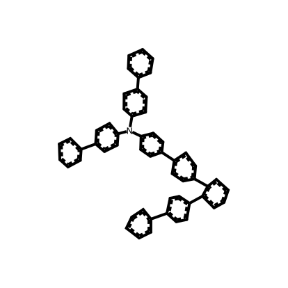 c1ccc(-c2ccc(-c3ccccc3-c3ccc(-c4ccc(N(c5ccc(-c6ccccc6)cc5)c5ccc(-c6ccccc6)cc5)cc4)cc3)cc2)cc1